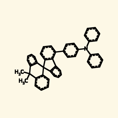 CC1(C)c2ccccc2C2(c3ccccc3-c3c(-c4ccc(N(c5ccccc5)c5ccccc5)cc4)cccc32)c2ccccc21